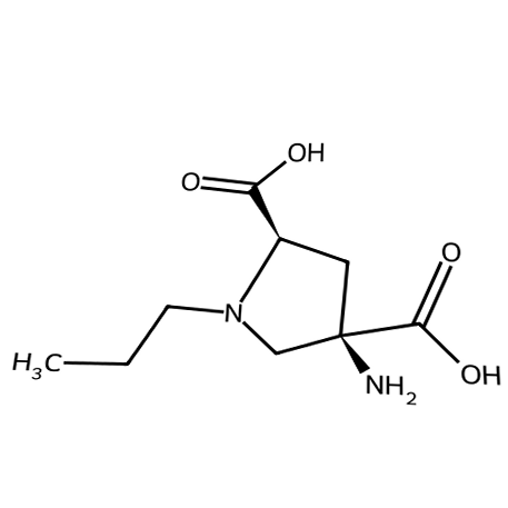 CCCN1C[C@@](N)(C(=O)O)C[C@@H]1C(=O)O